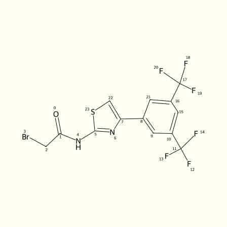 O=C(CBr)Nc1nc(-c2cc(C(F)(F)F)cc(C(F)(F)F)c2)cs1